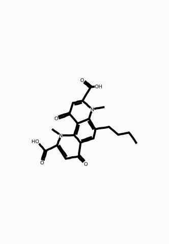 CCCCc1cc2c(=O)cc(C(=O)O)n(C)c2c2c(=O)cc(C(=O)O)n(C)c12